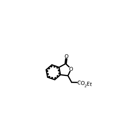 CCOC(=O)CC1OC(=O)c2ccccc21